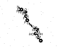 Cn1c(-c2ccccc2)cnc1C(O)C1C[C@@H](O)CN1C(=O)[C@@H](NC(=O)COCCCCOc1ccc(-c2ncc(N3C(=S)N(c4ccc(C#N)c(C(F)(F)F)c4F)C(=O)C3(C)C)cc2F)cc1F)C(C)(C)C